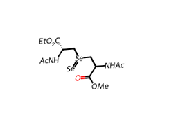 CCOC(=O)[C@H](C[Se](=[Se])CC(NC(C)=O)C(=O)OC)NC(C)=O